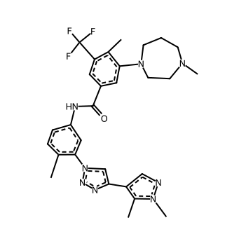 Cc1ccc(NC(=O)c2cc(N3CCCN(C)CC3)c(C)c(C(F)(F)F)c2)cc1-n1cc(-c2cnn(C)c2C)nn1